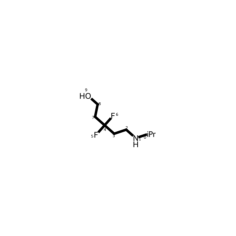 CC(C)NCCC(F)(F)CCO